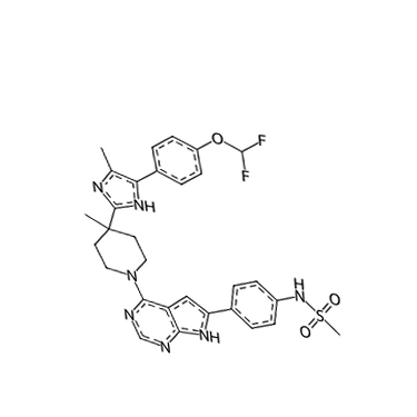 Cc1nc(C2(C)CCN(c3ncnc4[nH]c(-c5ccc(NS(C)(=O)=O)cc5)cc34)CC2)[nH]c1-c1ccc(OC(F)F)cc1